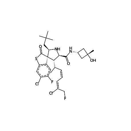 CC(/C=C\C=C(\Cl)CF)[C@H]1[C@H](C(=O)N[C@H]2C[C@@](C)(O)C2)N[C@H](CC(C)(C)C)[C@]12C(=O)Sc1cc(Cl)c(F)cc12